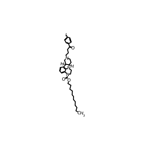 CCCCCCCCCCCCOC(=O)N1CCN2c3c(cccc31)[C@@H]1CN(CCCC(=O)c3ccc(I)cc3)CC[C@@H]12